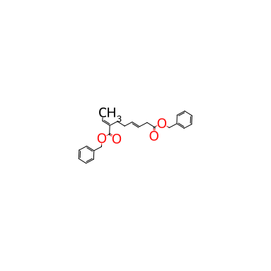 C/C=C(\CC/C=C/CC(=O)OCc1ccccc1)C(=O)OCc1ccccc1